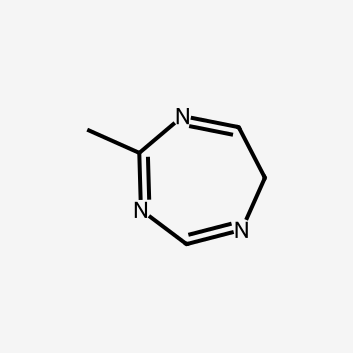 CC1=NC=NCC=N1